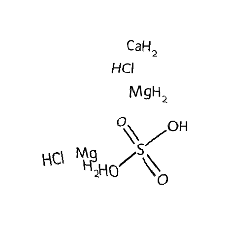 Cl.Cl.O=S(=O)(O)O.[CaH2].[MgH2].[MgH2]